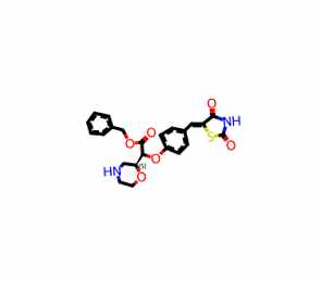 O=C1NC(=O)C(=Cc2ccc(OC(C(=O)OCc3ccccc3)[C@@H]3CNCCO3)cc2)S1